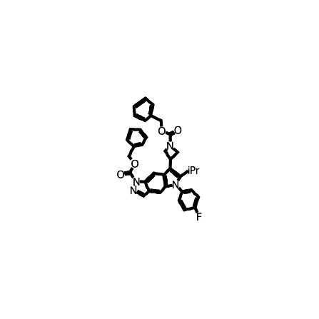 CC(C)c1c(C2CN(C(=O)OCc3ccccc3)C2)c2cc3c(cnn3C(=O)OCc3ccccc3)cc2n1-c1ccc(F)cc1